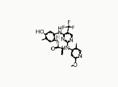 C=CC(=O)Nc1cc(C)c(O)cc1Nc1nc(Nc2cc(OC)ncc2C)ncc1C(F)(F)F